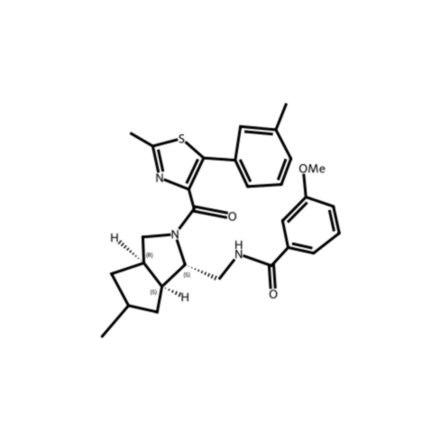 COc1cccc(C(=O)NC[C@@H]2[C@H]3CC(C)C[C@H]3CN2C(=O)c2nc(C)sc2-c2cccc(C)c2)c1